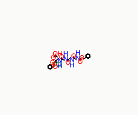 O=C(O)C[C@@H](/C=C(\Cl)S(=O)(=O)c1ccccc1)NC(=O)CNC(=O)CNC(=O)CNC(=O)OCc1ccccc1